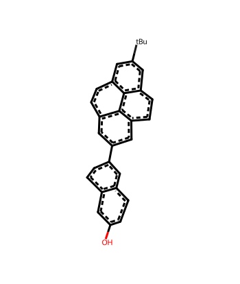 CC(C)(C)c1cc2ccc3cc(-c4ccc5cc(O)ccc5c4)cc4ccc(c1)c2c34